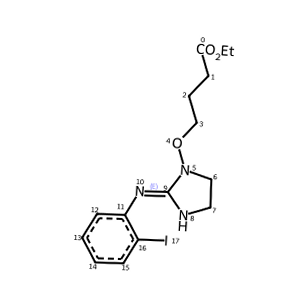 CCOC(=O)CCCON1CCN/C1=N\c1ccccc1I